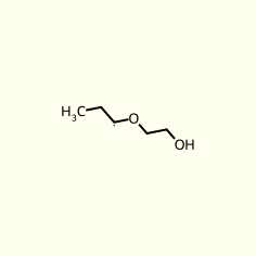 CC[CH]OCCO